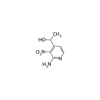 CC(O)c1ccnc(N)c1[N+](=O)[O-]